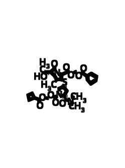 CC1C(S[C@H]2C[C@@H](C(=O)N(C)C)N(C(=O)OCOC(=O)C3CCC3)C2)=C(C(=O)OCOC(=O)c2ccccc2)N2C(=O)C([C@@H](C)O)C12